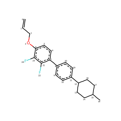 C=CCOc1ccc(-c2ccc(C3CCC(C)CC3)cc2)c(F)c1F